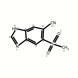 CS(=O)(=O)c1cc2nc[nH]c2cc1C#N